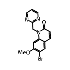 COc1cc2c(ccc(=O)n2Cc2ncccn2)cc1Br